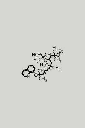 CCOC(C)(C)CC(CC(C)(C)OCCC(C)(C)Oc1cccc2cccnc12)OC(C)(C)CO